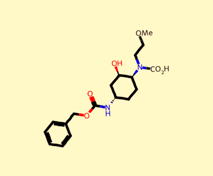 COCCN(C(=O)O)[C@H]1CC[C@H](NC(=O)OCc2ccccc2)C[C@H]1O